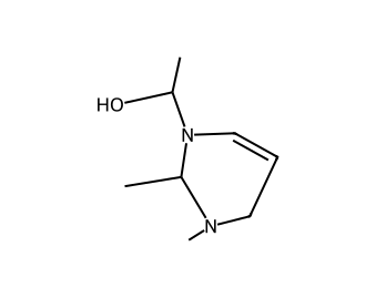 CC(O)N1C=CCN(C)C1C